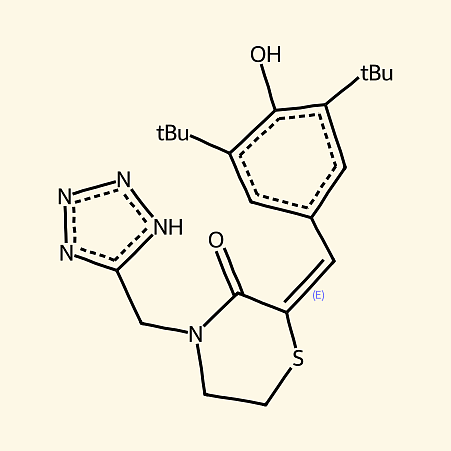 CC(C)(C)c1cc(/C=C2/SCCN(Cc3nnn[nH]3)C2=O)cc(C(C)(C)C)c1O